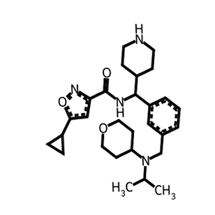 CC(C)N(Cc1cccc(C(NC(=O)c2cc(C3CC3)on2)C2CCNCC2)c1)C1CCOCC1